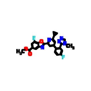 COC(=O)c1cc(F)c2oc(-c3cc(-c4ccc(F)cc4-c4nncn4C)cc(C4CC4)n3)nc2c1